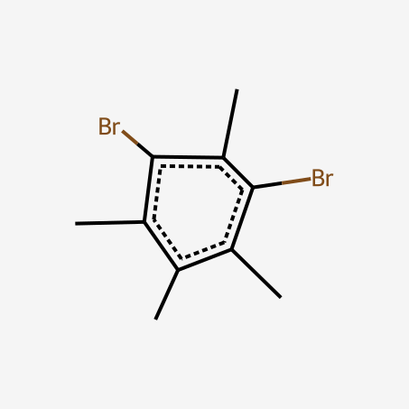 Cc1c(C)c(Br)c(C)c(Br)c1C